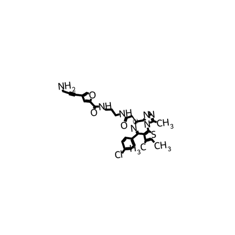 Cc1sc2c(c1C)C(c1ccc(Cl)cc1)=N[C@@H](CC(=O)NCCCNC(=O)c1cc(C#CCN)co1)c1nnc(C)n1-2